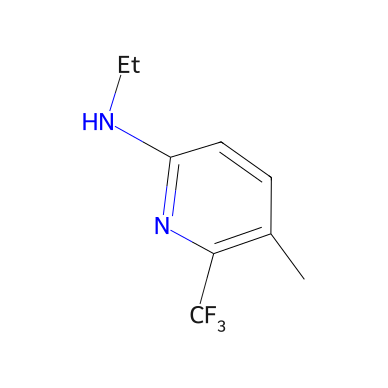 CCNc1ccc(C)c(C(F)(F)F)n1